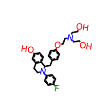 OCCN(CCO)CCOc1ccc(CC2c3ccc(O)cc3CCN2c2ccc(F)cc2)cc1